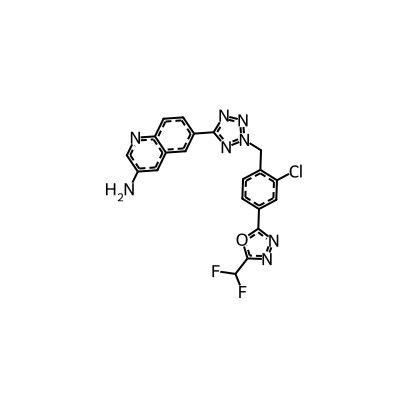 Nc1cnc2ccc(-c3nnn(Cc4ccc(-c5nnc(C(F)F)o5)cc4Cl)n3)cc2c1